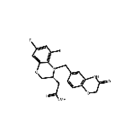 CNC(=O)C[C@H]1COc2cc(F)cc(F)c2N1Cc1ccc2c(c1)NC(=O)CO2